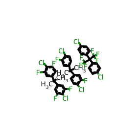 CC(C)(c1cc(F)c(Cl)c(F)c1)c1cc(F)c(Cl)c(F)c1.CC(C)(c1ccc(Cl)c(F)c1)c1ccc(Cl)c(F)c1.FC(F)(F)C(c1ccc(Cl)cc1)(c1ccc(Cl)cc1)C(F)(F)F